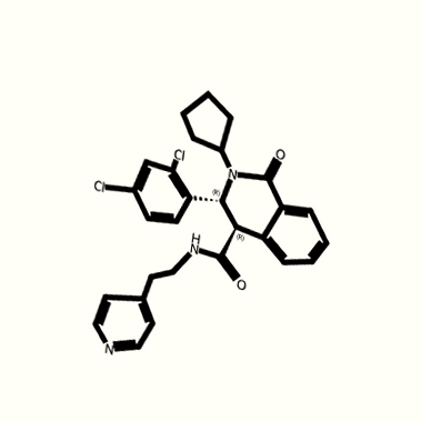 O=C(NCCc1ccncc1)[C@@H]1c2ccccc2C(=O)N(C2CCCC2)[C@H]1c1ccc(Cl)cc1Cl